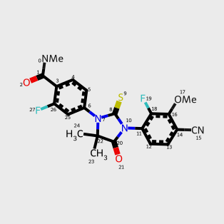 CNC(=O)c1ccc(N2C(=S)N(c3ccc(C#N)c(OC)c3F)C(=O)C2(C)C)cc1F